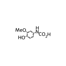 COc1cc(NC(=O)O)ccc1O